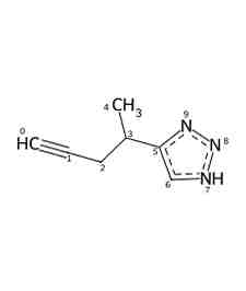 C#CCC(C)c1c[nH]nn1